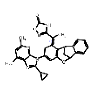 C/C(=C1/CC(n2c(C3CC3)nc3c(C)cc(C)nc32)=CC2=C1C1CC(O2)c2ccccc21)c1noc(=O)[nH]1